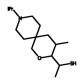 CC(S)C1OCC2(CCN(C(C)C)CC2)CC1C